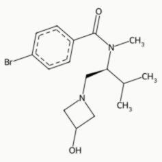 CC(C)[C@@H](CN1CC(O)C1)N(C)C(=O)c1ccc(Br)cc1